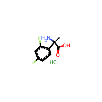 C[C@@](N)(C(=O)O)c1ccc(F)cc1F.Cl